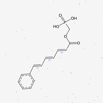 O=C(/C=C/C=C/C=C/c1ccccc1)OCP(=O)(O)O